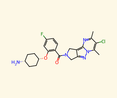 Cc1nc2c3c(nn2c(C)c1Cl)CN(C(=O)c1ccc(F)cc1O[C@H]1CC[C@@H](N)CC1)C3